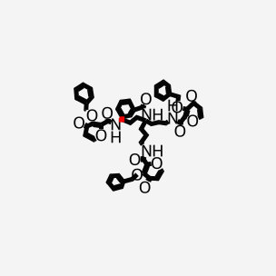 O=C(NC(CCCNC(=O)c1occc(=O)c1OCc1ccccc1)(CCCNC(=O)c1occc(=O)c1OCc1ccccc1)CCCNC(=O)c1occc(=O)c1OCc1ccccc1)c1ccccc1